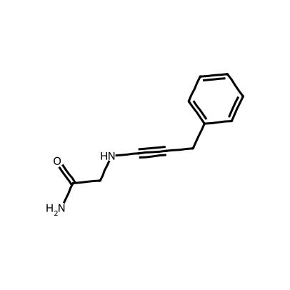 NC(=O)CNC#CCc1ccccc1